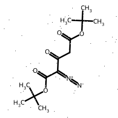 CC(C)(C)OC(=O)CC(=O)C(=[N+]=[N-])C(=O)OC(C)(C)C